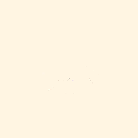 CCCC(Cl)(CC)[C@@H](O)C/C=C/[C@@H]1[C@@H](C/C=C\CCCC(=O)O)[C@H](Cl)C[C@H]1O